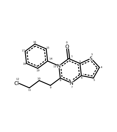 O=c1c2sccc2nc(CCCCl)n1-c1ccccc1